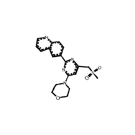 CS(=O)(=O)Cc1cc(N2CCOCC2)nc(-c2ccc3ncccc3c2)n1